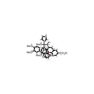 CCOC(=O)c1cnc2cc(C(C)C(OC)(c3ccc(OC)c(OC)c3)n3ccnc3)c(C(C)C(OC)(c3ccc(OC)c(OC)c3)n3ccnc3)cc2c1